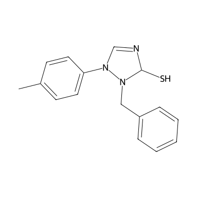 Cc1ccc(N2C=NC(S)N2Cc2ccccc2)cc1